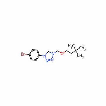 C[Si](C)(C)CCOCN1CN(c2ccc(Br)cc2)N=N1